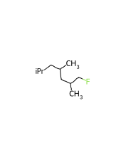 CC(C)CC(C)CC(C)CF